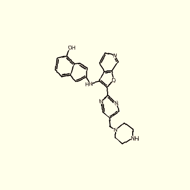 Oc1cccc2cc(Nc3c(-c4ncc(CN5CCNCC5)cn4)oc4cnccc34)ccc12